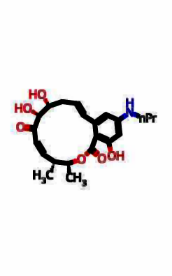 CCCNc1cc(O)c2c(c1)/C=C/C[C@H](O)[C@H](O)C(=O)/C=C\[C@@H](C)[C@H](C)OC2=O